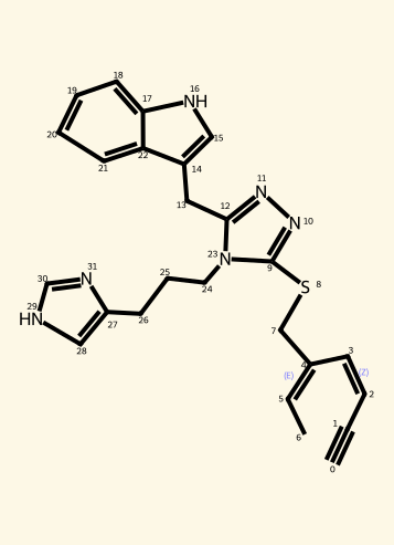 C#C/C=C\C(=C/C)CSc1nnc(Cc2c[nH]c3ccccc23)n1CCCc1c[nH]cn1